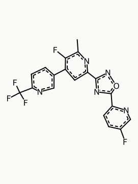 Cc1nc(-c2noc(-c3ccc(F)cn3)n2)cc(-c2ccc(C(F)(F)F)nc2)c1F